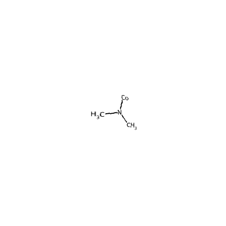 C[N](C)[Co]